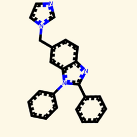 c1ccc(-c2nc3ccc(Cn4ccnc4)cc3n2-c2ccccc2)cc1